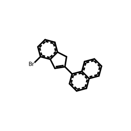 Brc1cccc2c1C=C(c1cccc3ccccc13)C2